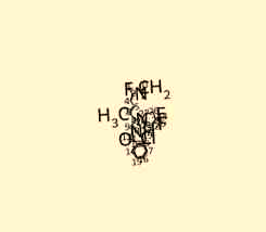 C=N/C(F)=C\C=C(/C)C(CNC(=O)c1ccccc1Cl)N1CCC(F)(F)CC1